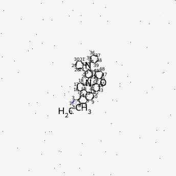 C=C/C=C\c1c(C)cc2cccc3c2c1-c1cccc(N(c2ccc4c(c2)c2ccccc2n4-c2ccccc2)c2cccc4oc5ccccc5c24)c1-3